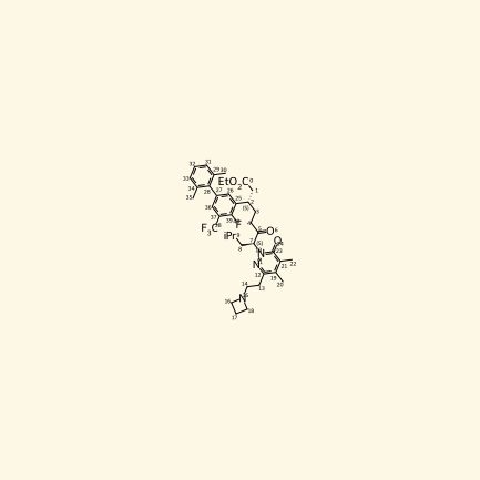 CCOC(=O)C[C@H](CCC(=O)[C@H](CC(C)C)n1nc(CCN2CCC2)c(C)c(C)c1=O)c1cc(-c2c(C)cccc2C)cc(C(F)(F)F)c1F